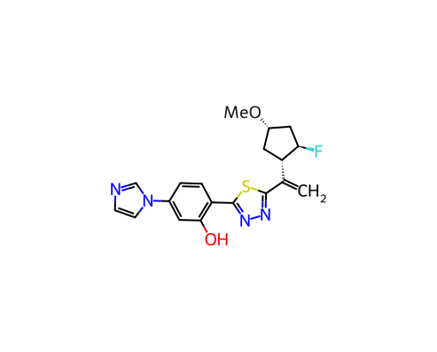 C=C(c1nnc(-c2ccc(-n3ccnc3)cc2O)s1)[C@@H]1C[C@H](OC)C[C@H]1F